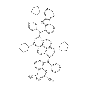 C=C(C)Oc1c(CC)cccc1N(c1ccccc1)c1cc(C2CCCCC2)c2ccc3c(N(c4ccccc4)c4cccc5c4oc4c(C6CCCC6)cccc45)cc(C4CCCCC4)c4ccc1c2c43